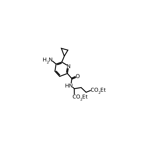 CCOC(=O)CCC(NC(=O)c1ccc(N)c(C2CC2)n1)C(=O)OCC